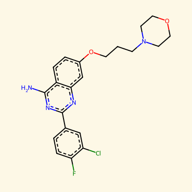 Nc1nc(-c2ccc(F)c(Cl)c2)nc2cc(OCCCN3CCOCC3)ccc12